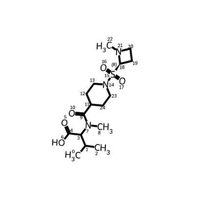 CC(C)C(C(=O)O)N(C)C(=O)C1CCN(S(=O)(=O)[C@@H]2CCN2C)CC1